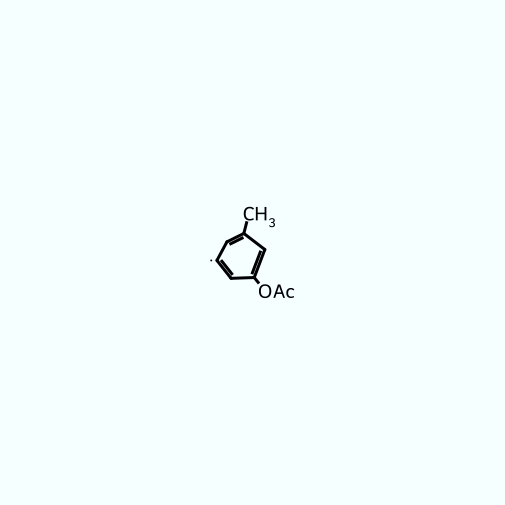 CC(=O)Oc1c[c]cc(C)c1